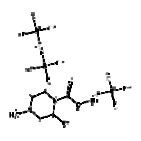 CC(C)C1CN(C)CCN1C(=O)OC(C)(C)C.F[B-](F)(F)F.F[B-](F)(F)F.F[B-](F)(F)F